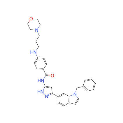 O=C(Nc1cc(-c2ccc3ccn(Cc4ccccc4)c3c2)n[nH]1)c1ccc(NCCCN2CCOCC2)cc1